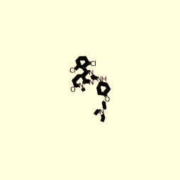 CCN(CC)CCOc1ccc(Nc2nc(-c3c(Cl)cccc3Cl)c3ccc(=O)n(C)c3n2)cc1